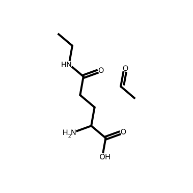 CC=O.CCNC(=O)CCC(N)C(=O)O